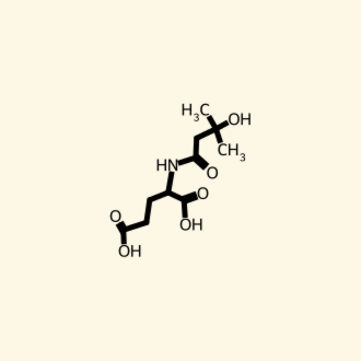 CC(C)(O)CC(=O)NC(CCC(=O)O)C(=O)O